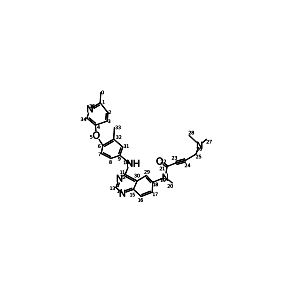 Cc1ccc(Oc2ccc(Nc3ncnc4ccc(N(C)C(=O)C#CCN(C)C)cc34)cc2C)cn1